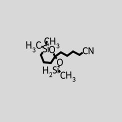 C[SiH2]OC1(CCCCC#N)CCC[Si](C)(C)O1